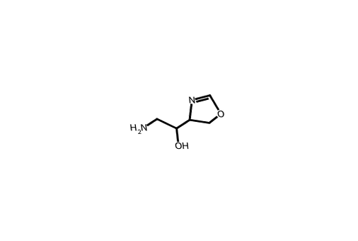 NCC(O)C1COC=N1